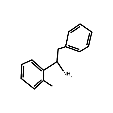 Cc1ccccc1C(N)Cc1ccccc1